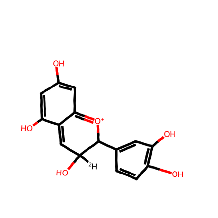 [2H]C1(O)C=c2c(O)cc(O)cc2=[O+]C1c1ccc(O)c(O)c1